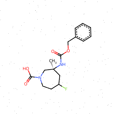 C[C@]1(NC(=O)OCc2ccccc2)CC(F)CCN(C(=O)O)C1